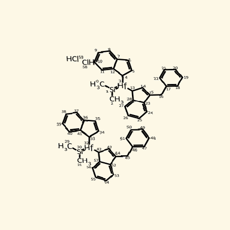 C[Si](C)=[Hf]([CH]1C=Cc2ccccc21)[CH]1C=C(Cc2ccccc2)c2ccccc21.C[Si](C)=[Hf]([CH]1C=Cc2ccccc21)[CH]1C=C(Cc2ccccc2)c2ccccc21.Cl.Cl